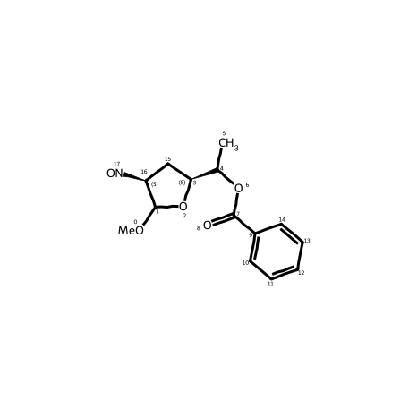 COC1O[C@H](C(C)OC(=O)c2ccccc2)C[C@@H]1N=O